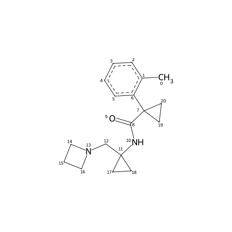 Cc1ccccc1C1(C(=O)NC2(CN3CCC3)CC2)CC1